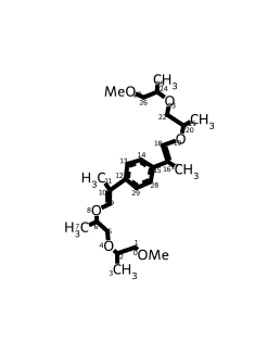 COCC(C)OCC(C)OC=C(C)c1ccc(C(C)=COC(C)COC(C)COC)cc1